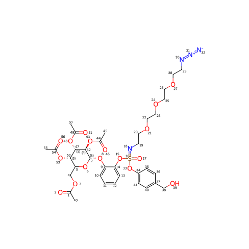 CC(=O)OCC1O[C@@H](Oc2ccccc2OS(=O)(=NCCOCCOCCOCCN=[N+]=[N-])Oc2ccc(CO)cc2)[C@H](OC(C)=O)[C@@H](OC(C)=O)[C@H]1OC(C)=O